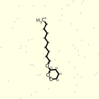 CCCCCCCCCCOC1CCCOO1